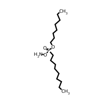 CCCCCCCCCP(=O)(ON)OCCCCCCCC